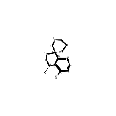 C[C@@H]1CO[C@]2(CCCOC2)c2cccc(Br)c21